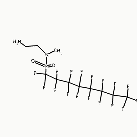 CN(CCN)S(=O)(=O)C(F)(F)C(F)(F)C(F)(F)C(F)(F)C(F)(F)C(F)(F)C(F)(F)C(F)(F)F